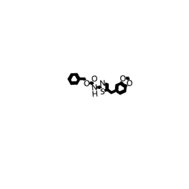 O=C(Nc1ncc(Cc2ccc3c(c2)OCO3)s1)OCc1ccccc1